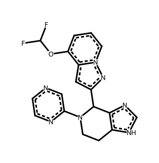 FC(F)Oc1cccn2nc(C3c4nc[nH]c4CCN3c3cnccn3)cc12